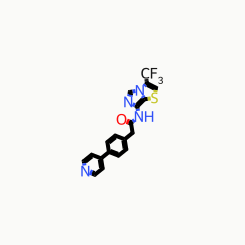 O=C(Cc1ccc(-c2ccncc2)cc1)Nc1ncn2c(C(F)(F)F)csc12